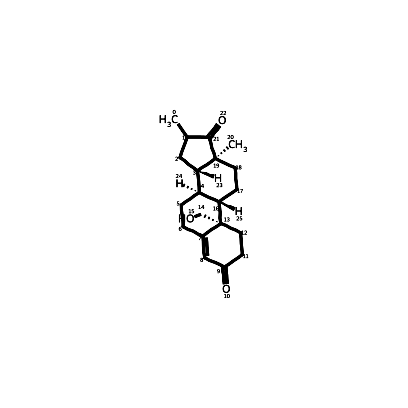 CC1C[C@H]2[C@@H]3CCC4=CC(=O)CC[C@]4(CO)[C@H]3CC[C@]2(C)C1=O